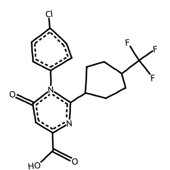 O=C(O)c1cc(=O)n(-c2ccc(Cl)cc2)c(C2CCC(C(F)(F)F)CC2)n1